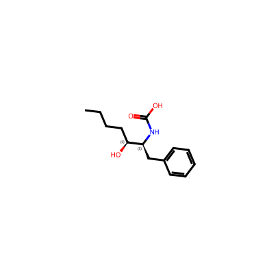 CCCC[C@H](O)[C@H](Cc1ccccc1)NC(=O)O